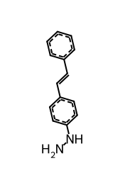 NNc1ccc(/C=C/c2ccccc2)cc1